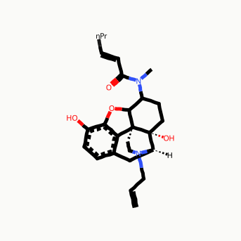 C=CCN1CC[C@]23c4c5ccc(O)c4OC2C(N(C)C(=O)C=CCCC)CC[C@@]3(O)[C@H]1C5